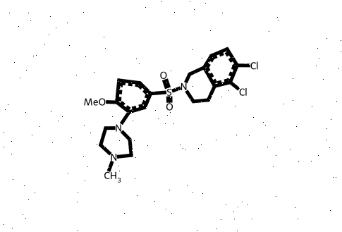 COc1ccc(S(=O)(=O)N2CCc3c(ccc(Cl)c3Cl)C2)cc1N1CCN(C)CC1